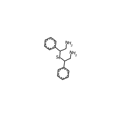 NCC([Se]C(CN)c1ccccc1)c1ccccc1